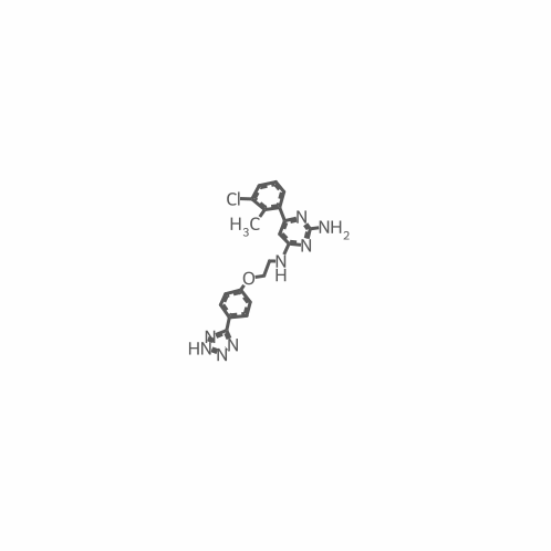 Cc1c(Cl)cccc1-c1cc(NCCOc2ccc(-c3nn[nH]n3)cc2)nc(N)n1